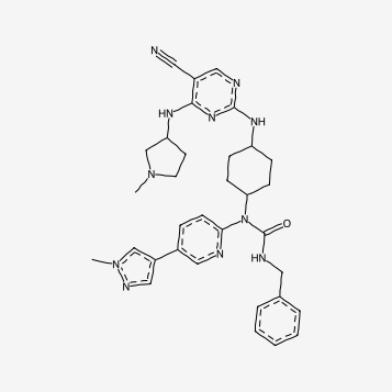 CN1CCC(Nc2nc(NC3CCC(N(C(=O)NCc4ccccc4)c4ccc(-c5cnn(C)c5)cn4)CC3)ncc2C#N)C1